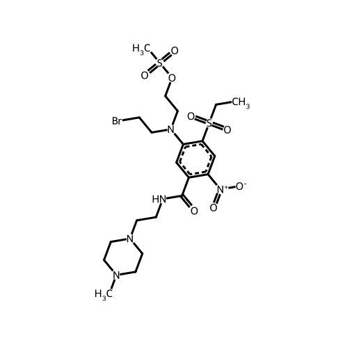 CCS(=O)(=O)c1cc([N+](=O)[O-])c(C(=O)NCCN2CCN(C)CC2)cc1N(CCBr)CCOS(C)(=O)=O